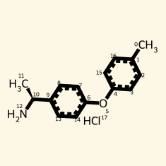 Cc1ccc(Oc2ccc([C@H](C)N)cc2)cc1.Cl